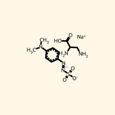 CN(C)c1ccc(/N=N/S(=O)(=O)[O-])cc1.NCC(N)C(=O)O.[Na+]